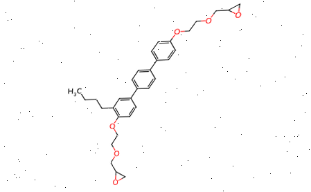 CCCCc1cc(-c2ccc(-c3ccc(OCCOCC4CO4)cc3)cc2)ccc1OCCOCC1CO1